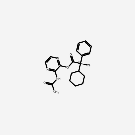 [CH2]C(=O)Nc1nccnc1OC(=O)[C@](O)(c1ccccc1)C1CCCCC1